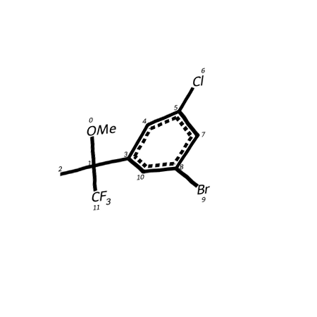 COC(C)(c1cc(Cl)cc(Br)c1)C(F)(F)F